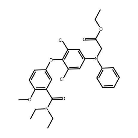 CCOC(=O)CN(c1ccccc1)c1cc(Cl)c(Oc2ccc(OC)c(C(=O)N(CC)CC)c2)c(Cl)c1